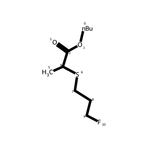 CCCCOC(=O)C(C)SCCCF